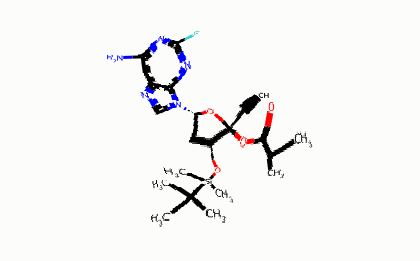 C#C[C@]1(OC(=O)C(C)C)O[C@@H](n2cnc3c(N)nc(F)nc32)C[C@@H]1O[Si](C)(C)C(C)(C)C